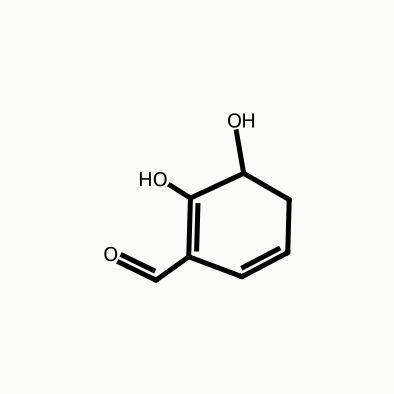 O=CC1=C(O)C(O)CC=C1